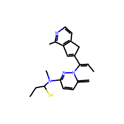 C=C1C=CC(N(C)C(S)CC)=NN1/C(=C\C)C1=Cc2c(ccnc2C)C1